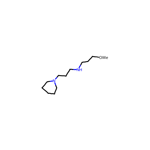 COCCCNCCCN1CCCCC1